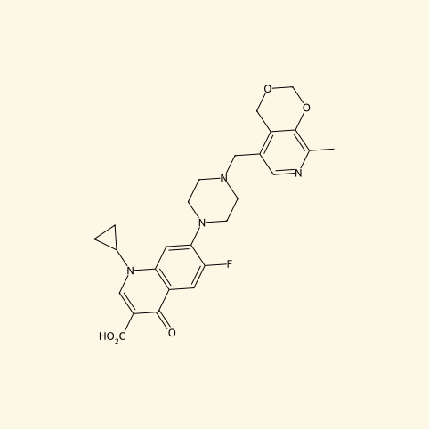 Cc1ncc(CN2CCN(c3cc4c(cc3F)c(=O)c(C(=O)O)cn4C3CC3)CC2)c2c1OCOC2